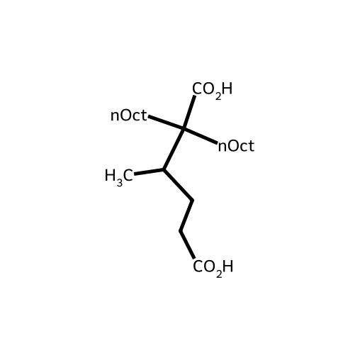 CCCCCCCCC(CCCCCCCC)(C(=O)O)C(C)CCC(=O)O